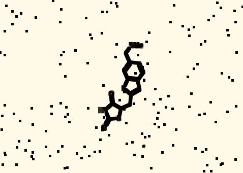 CNCc1ccc2cc(CC3SC(=O)NC3=O)sc2c1